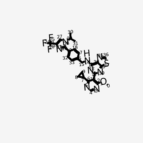 COc1ncnc(C2CC2)c1-c1nc(NCc2ccc(-c3nc(C(F)(F)F)cn3C(C)C)cc2)c2ncsc2n1